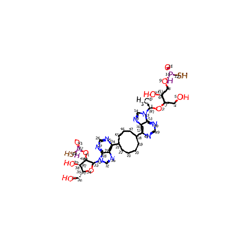 C[C@@H](OC(CO)[C@@H](O)CO[PH](=O)S)n1cnc2c(C3CCCCC(c4ncnc5c4ncn5C4O[C@H](CO)[C@@H](O)[C@H]4O[PH](=O)S)CCC3)ncnc21